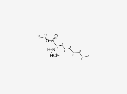 CCCCCCC[C@H](N)C(=O)OCC.Cl